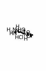 CC(C)(C)OC(=O)N[C@H](CO)CCCNC(=N)N.Cl